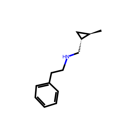 C[C@@H]1C[C@H]1CNCCc1ccccc1